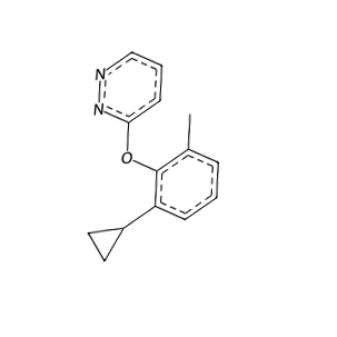 Cc1cccc(C2CC2)c1Oc1cccnn1